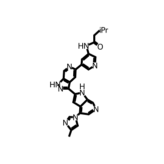 Cc1cn(-c2cncc3[nH]c(-c4n[nH]c5cnc(-c6cncc(NC(=O)CC(C)C)c6)cc45)cc23)cn1